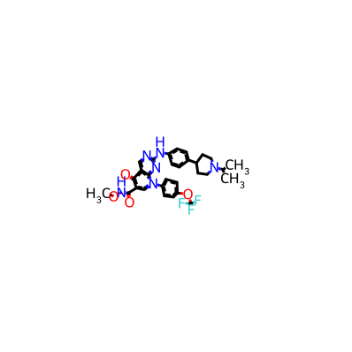 CONC(=O)c1cn(-c2ccc(OC(F)(F)F)cc2)c2nc(Nc3ccc(C4CCN(C(C)C)CC4)cc3)ncc2c1=O